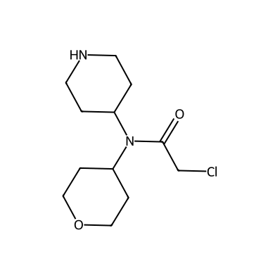 O=C(CCl)N(C1CCNCC1)C1CCOCC1